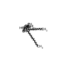 CCCCCCCCCCCCCCCCCCN(C(=O)CCCCCCCCCCCCC)[C@@H]1O[C@H](CO)[C@@H](O)[C@H](O)[C@H]1NC(=O)[C@@H](C)N